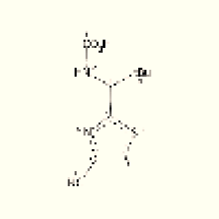 CC(C)(C)C(NC(=O)O)c1nc(C#N)cs1